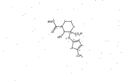 CCCC1N(C(=O)OC)CCCC1(Oc1ccc(C)s1)C(=O)O